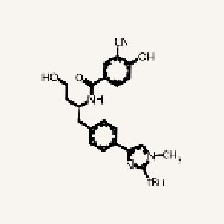 Cn1cc(-c2ccc(C[C@@H](CCO)NC(=O)c3ccc(O)c(C#N)c3)cc2)nc1C(C)(C)C